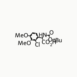 COc1ccc(C(NC(=O)OC(C)(C)C)C(=O)O)c(Cl)c1OC